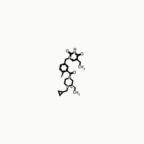 CCc1cn(Cc2ccc(F)c(C(=O)N3CCN(CC4CC4)[C@H](CC)C3)c2)c(=O)[nH]c1=O